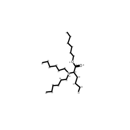 CCCCCCOC(=O)C(CCCC)N(CCCCCC)CCCCCC